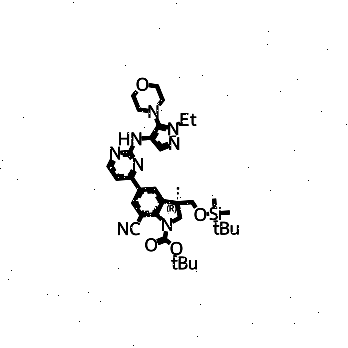 CCn1ncc(Nc2nccc(-c3cc(C#N)c4c(c3)[C@@](C)(CO[Si](C)(C)C(C)(C)C)CN4C(=O)OC(C)(C)C)n2)c1N1CCOCC1